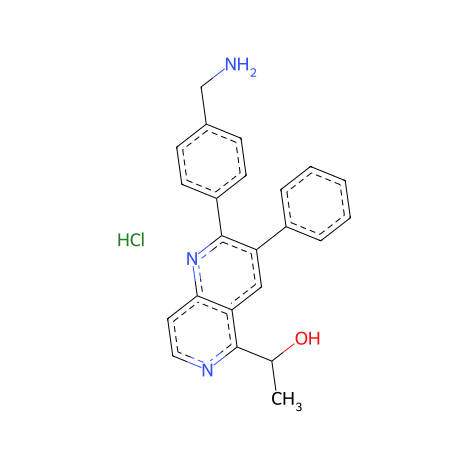 CC(O)c1nccc2nc(-c3ccc(CN)cc3)c(-c3ccccc3)cc12.Cl